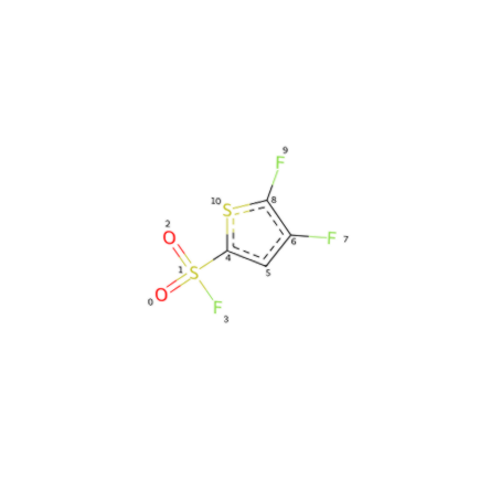 O=S(=O)(F)c1cc(F)c(F)s1